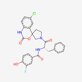 O=C1Nc2ccc(Cl)cc2C2(CCN(C(=O)[C@H](Cc3ccccc3)NC(=O)c3ccc(O)c(F)c3)C2)O1